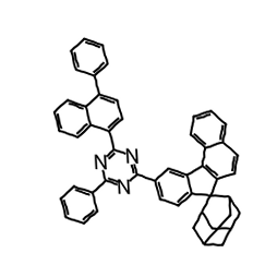 c1ccc(-c2nc(-c3ccc4c(c3)-c3c(ccc5ccccc35)C43C4CC5CC(C4)CC3C5)nc(-c3ccc(-c4ccccc4)c4ccccc34)n2)cc1